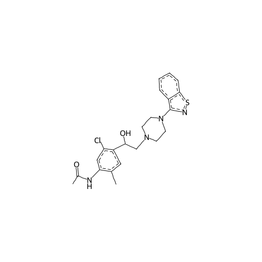 CC(=O)Nc1cc(Cl)c(C(O)CN2CCN(c3nsc4ccccc34)CC2)cc1C